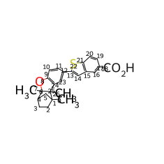 CC12CCC(C1)C1(C)Oc3ccc(-c4cc5cc(C(=O)O)ccc5s4)cc3C21C